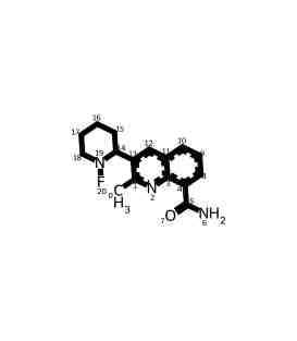 Cc1nc2c(C(N)=O)cccc2cc1C1CCCCN1F